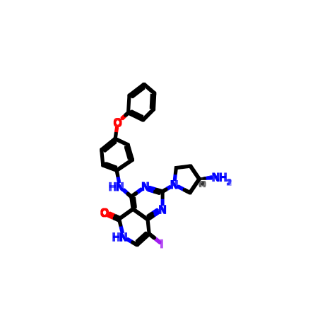 N[C@@H]1CCN(c2nc(Nc3ccc(Oc4ccccc4)cc3)c3c(=O)[nH]cc(I)c3n2)C1